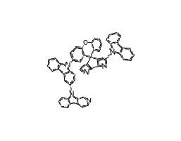 c1ccc2c(c1)Oc1ccc(-n3c4ccccc4c4cc(-n5c6ccccc6c6ccncc65)ccc43)cc1C21c2cccnc2-c2ncc(-n3c4ccccc4c4ccccc43)cc21